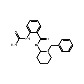 NC(=O)Nc1ccccc1C(=O)NC1CCCCN1Cc1ccccc1